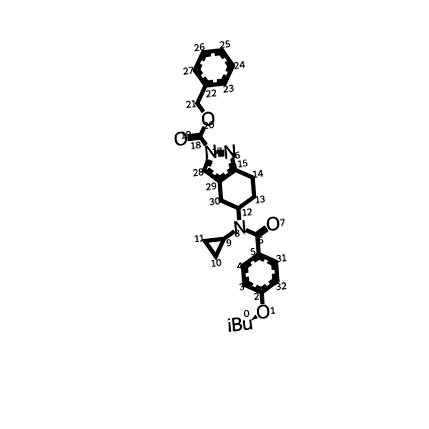 CC[C@H](C)Oc1ccc(C(=O)N(C2CC2)C2CCc3nn(C(=O)OCc4ccccc4)cc3C2)cc1